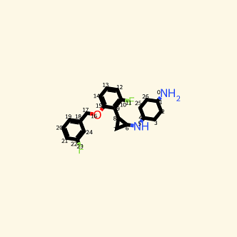 NC1CCC(NC2CC2c2c(F)cccc2OCc2cccc(F)c2)CC1